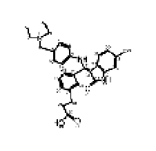 CCN(CC)Cc1ccc(NC(=C2C(=O)Nc3cc(F)ccc32)c2cccc(CCC(=O)O)c2)cc1